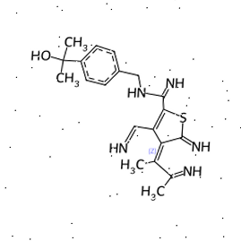 CC(=N)/C(C)=C1\C(=N)SC(C(=N)NCc2ccc(C(C)(C)O)cc2)=C1C=N